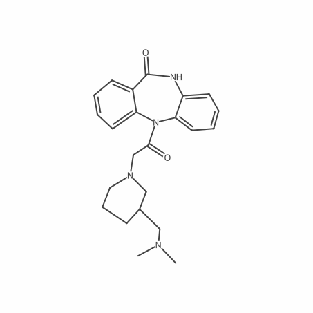 CN(C)CC1CCCN(CC(=O)N2c3ccccc3NC(=O)c3ccccc32)C1